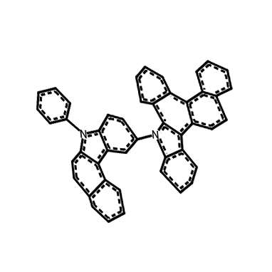 c1ccc(-n2c3ccc(-n4c5ccccc5c5c6ccc7ccccc7c6c6ccccc6c54)cc3c3c4ccccc4ccc32)cc1